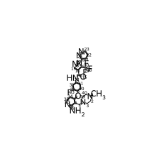 CN1CCN(Cc2c(Oc3ccc(NC(=O)c4cnn(-c5cccnn5)c4C(F)(F)F)cc3F)ccnc2N)CC1